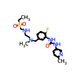 CCS(=O)(=O)CNCCN(C)Cc1ccc(F)c(NC(=O)Nc2ccc(C)nc2)c1